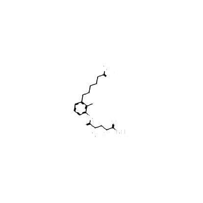 CC(=O)N[C@@H](CCC(N)=O)C(=O)Nc1cccc(CCCCCC(N)=O)c1C